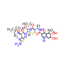 CCC(NC(=O)c1c[nH]c2cc(O)c(O)c([N+](=O)[O-])c2c1=O)C1=C(OC(=O)O)N2C(=O)C(NC(=O)/C(=N\OC(C)(C)C(=O)O)c3csc(N)n3)[C@@H]2SC1